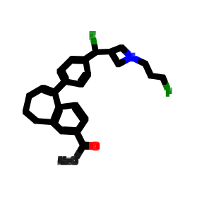 COC(=O)c1ccc2c(c1)CCCC=C2c1ccc(C(F)C2CN(CCCF)C2)cc1